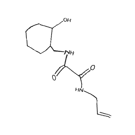 C=CCNC(=O)C(=O)NC1CCCCC1O